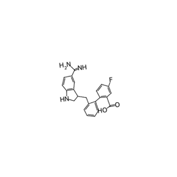 N=C(N)c1ccc2c(c1)C(Cc1ccccc1-c1ccc(F)cc1C(=O)O)CN2